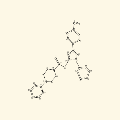 COc1ccc(-c2nc(-c3ccccc3)n(CC(=O)N3CCN(c4ncccn4)CC3)n2)cc1